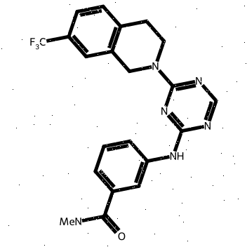 CNC(=O)c1cccc(Nc2ncnc(N3CCc4ccc(C(F)(F)F)cc4C3)n2)c1